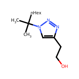 CCCCCCC(C)(C)n1cc(CCO)nn1